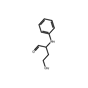 O=CC(CCO)Nc1ccccc1